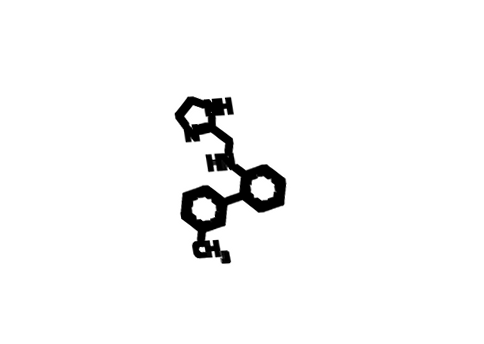 Cc1cccc(-c2ccccc2NCC2=NCCN2)c1